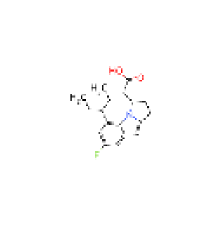 CCC(CC)c1cc(F)cc2cc3n(c12)C(CC(=O)O)CC3